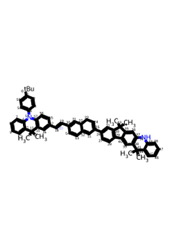 CC(C)(C)c1ccc(N2c3ccccc3C(C)(C)c3cc(/C=C/C4=CC5CC=C(c6ccc7c(c6)C(C)(C)c6cc8c(cc6-7)C(C)(C)c6ccccc6N8)C=C5C=C4)ccc32)cc1